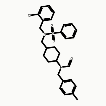 Cc1ccc(CN(C=O)C2CCC(CN(Cc3ccccc3Cl)S(=O)(=O)c3ccccc3)CC2)cc1